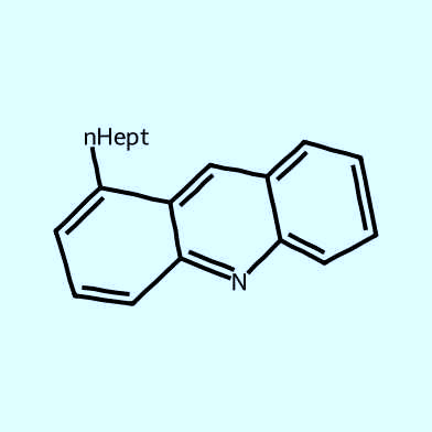 CCCCCCCc1cccc2nc3ccccc3cc12